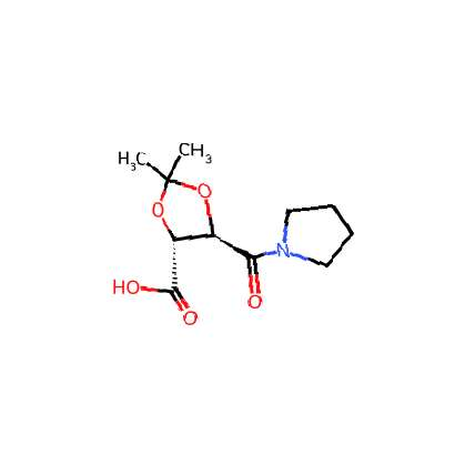 CC1(C)O[C@@H](C(=O)O)[C@H](C(=O)N2CCCC2)O1